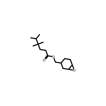 CC(C)C(C)(C)CCC(=O)OCC1CCC2OC2C1